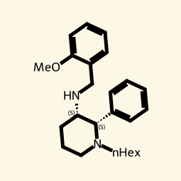 CCCCCCN1CCC[C@H](NCc2ccccc2OC)[C@@H]1c1ccccc1